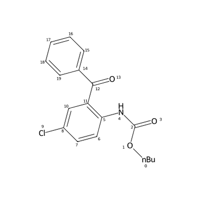 CCCCOC(=O)Nc1ccc(Cl)cc1C(=O)c1ccccc1